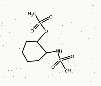 CS(=O)(=O)NC1CCCCC1OS(C)(=O)=O